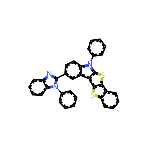 c1ccc(-n2c(-c3ccc4c(c3)c3c5sc6ccccc6c5sc3n4-c3ccccc3)nc3ccccc32)cc1